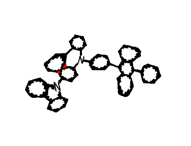 c1ccc(-c2ccccc2N(c2ccc(-c3c4ccccc4c(-c4ccccc4)c4ccccc34)cc2)c2ccc(-n3c4ccccc4c4ccccc43)cc2)cc1